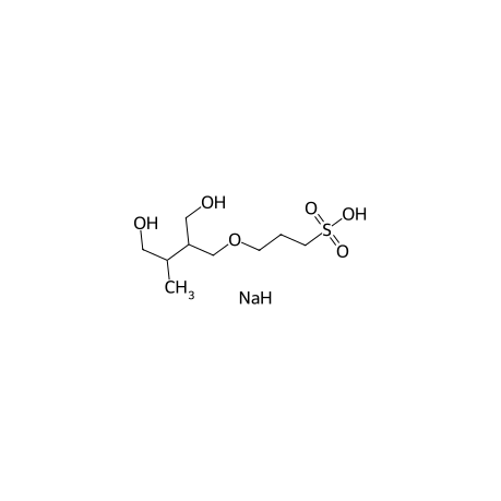 CC(CO)C(CO)COCCCS(=O)(=O)O.[NaH]